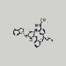 CCNc1ccc(C(C)=O)cc1/N=C1/S/C(=C\N2CCc3ccccc32)C(=O)N1Cc1ccccc1